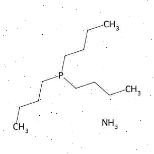 CCCCP(CCCC)CCCC.N